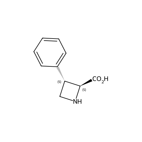 O=C(O)[C@H]1NC[C@@H]1c1ccccc1